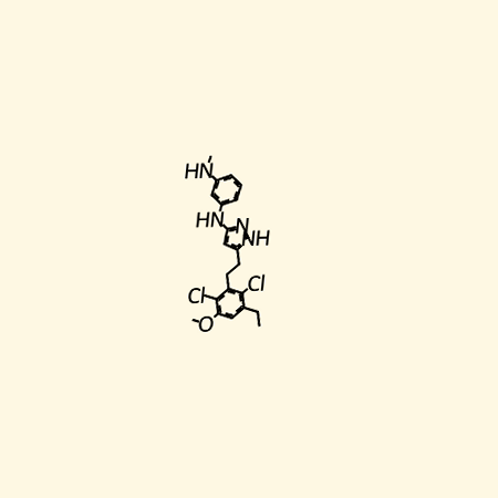 CCc1cc(OC)c(Cl)c(CCc2cc(Nc3cccc(NC)c3)n[nH]2)c1Cl